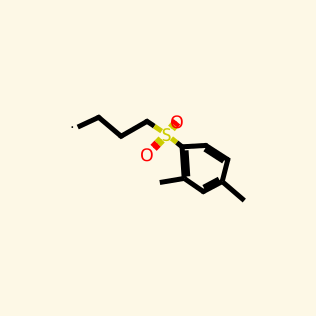 [CH2]CCCS(=O)(=O)c1ccc(C)cc1C